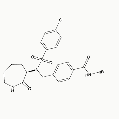 CCCNC(=O)c1ccc(CN([C@@H]2CCCCNC2=O)S(=O)(=O)c2ccc(Cl)cc2)cc1